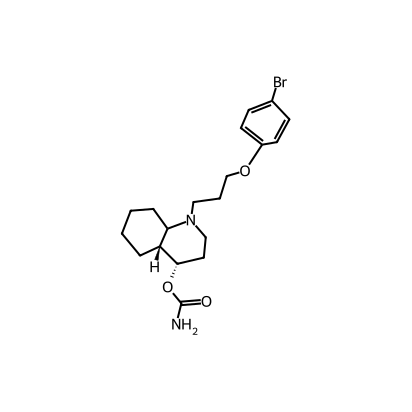 NC(=O)O[C@H]1CCN(CCCOc2ccc(Br)cc2)C2CCCC[C@H]21